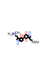 CNCCc1c[nH]c2c1C(=O)C(c1ccc3[nH]cc(CCN(C)C)c3c1O)=CC2=O